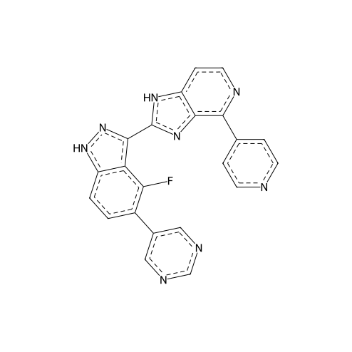 Fc1c(-c2cncnc2)ccc2[nH]nc(-c3nc4c(-c5ccncc5)nccc4[nH]3)c12